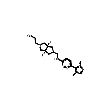 Cc1cnn(C)c1-c1ccc(NCC2C[C@@H]3CN(CCC(C)(C)C)C[C@@H]3C2)nn1